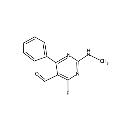 CNc1nc(F)c(C=O)c(-c2ccccc2)n1